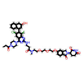 CCC(=O)N1CCN(c2nc(NCCC(=O)N(C)CCOCCOCCOc3ccc4c(c3)CN(C3CCC(=O)NC3=O)C4=O)nc3c(F)c(-c4cc(O)cc5ccccc45)c(Cl)cc23)CC1